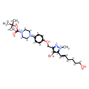 Cn1nc(COc2ccc(N3CCN(C(=O)OC(C)(C)C)CC3)cc2)c(Br)c1/C=C/CCCCO